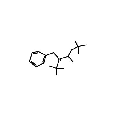 CC(CC(C)(C)C)N(Cc1ccccc1)C(C)(C)C